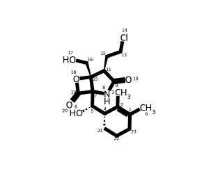 CC1=C(C)[C@@H]([C@H](O)C23NC(=O)[C@H](CCCl)[C@@]2(CO)OC3=O)CCC1